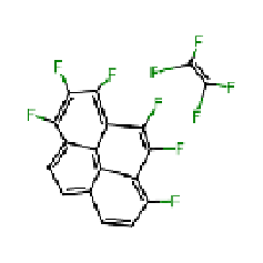 FC(F)=C(F)F.Fc1c(F)c2ccc3ccc(F)c4c(F)c(F)c(c1F)c2c34